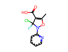 CC1=C(C(=O)O)C(F)(Cl)N(c2ccccn2)O1